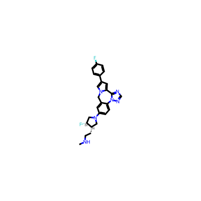 CNCC[C@H]1CN(c2ccc3c(c2)Cn2cc(-c4ccc(F)cc4)cc2-c2ncnn2-3)C[C@H]1F